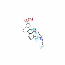 O=C(O)c1ccc2c(c1)CCCC(c1cccc(C(F)(F)F)c1C(F)(F)F)=C2c1ccc(C=C2CN(CCCF)C2)cc1